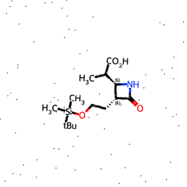 CC(C(=O)O)[C@H]1NC(=O)[C@@H]1CCO[Si](C)(C)C(C)(C)C